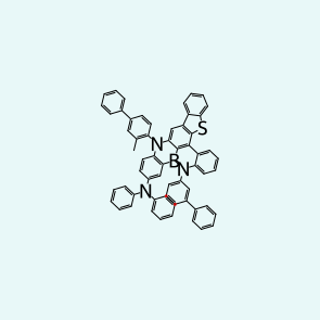 Cc1cc(-c2ccccc2)ccc1N1c2ccc(N(c3ccccc3)c3ccccc3)cc2B2c3c1cc1c(sc4ccccc41)c3-c1ccccc1N2c1cccc(-c2ccccc2)c1